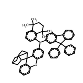 CC1(C)CCC(C)(C)c2c(N(c3ccc4c(c3)C(c3ccccc3)(c3ccccc3)c3ccccc3-4)c3ccc4c(c3)C3(c5ccccc5O4)C4CC5CC(C4)C3C5)cccc21